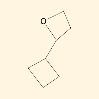 C1CC(C2CCO2)C1